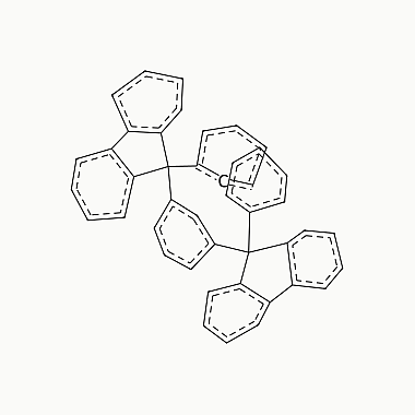 c1ccc(C2(c3cccc(C4(c5ccccc5)c5ccccc5-c5ccccc54)c3)c3ccccc3-c3ccccc32)cc1